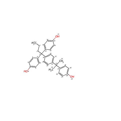 CCCC(c1ccc(O)cc1)(c1ccc(O)cc1)c1ccc(C(C)(C)c2ccc(O)cc2)cc1